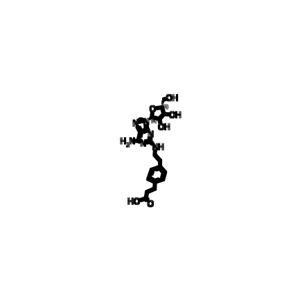 Nc1nc(NCCc2ccc(CCC(=O)O)cc2)nc2c1ncn2[C@@H]1O[C@H](CO)C(O)C1O